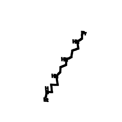 CCNCCCNCCCNCCCNCC(C)C